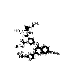 C=C[C@@H]1C[C@]1(NC(=O)[C@@H]1C[C@@H](Oc2cc(-c3csc(NC(C)C)n3)nc3cc(OC)ccc23)CN1C(=O)OC(C)(C)C)C(=O)O